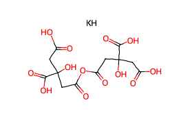 O=C(O)CC(O)(CC(=O)OC(=O)CC(O)(CC(=O)O)C(=O)O)C(=O)O.[KH]